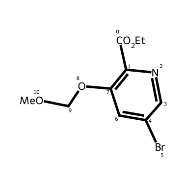 CCOC(=O)c1ncc(Br)cc1OCOC